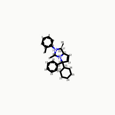 Cc1ccccc1N1C(C)N2C(C=CC2(c2ccccc2)C2CCCCC2)[C@@H]1C